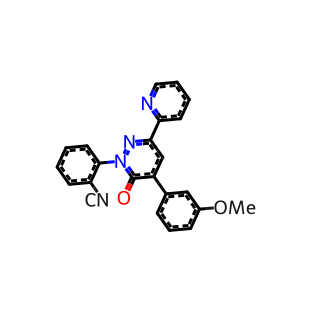 COc1cccc(-c2cc(-c3ccccn3)nn(-c3ccccc3C#N)c2=O)c1